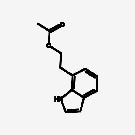 CC(=O)OCCc1cccc2cc[nH]c12